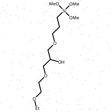 CCOCCOCC(O)COCCC[Si](OC)(OC)OC